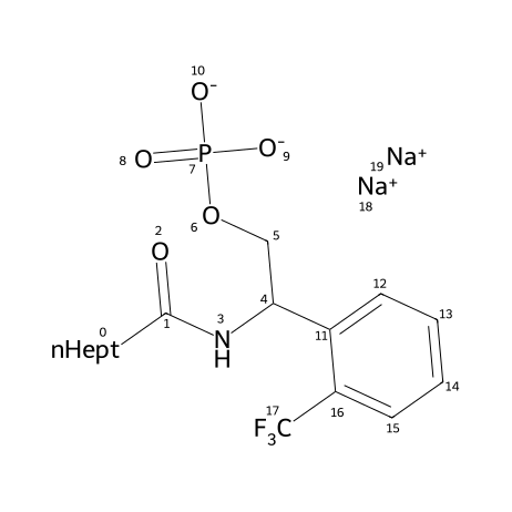 CCCCCCCC(=O)NC(COP(=O)([O-])[O-])c1ccccc1C(F)(F)F.[Na+].[Na+]